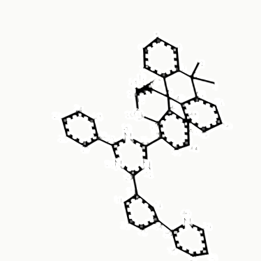 CC1(C)c2ccccc2C2(c3ccccc3Oc3c(-c4nc(-c5ccccc5)nc(-c5cccc(-c6ccccn6)c5)n4)cccc32)c2ccccc21